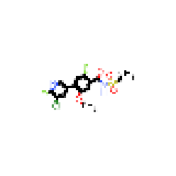 CCS(=O)(=O)NC(=O)c1cc(OC)c(-c2cnc(F)c(Cl)c2)cc1F